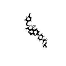 Cc1ccc(CNC(=O)c2ncc3nc(N4CCN(C(=O)OC(C)(C)C)CC4)ccc3c2O)cn1